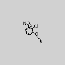 C=CCOc1cccc([N+](=O)[O-])c1Cl